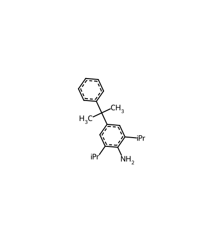 CC(C)c1cc(C(C)(C)c2ccccc2)cc(C(C)C)c1N